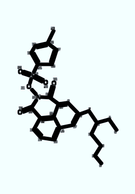 CCCCC(CC)Cc1cc2c3c(cccc3c1)C(=O)N(OS(=O)(=O)c1ccc(C)cc1)C2=O